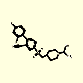 CC(O)N1CCC(CS(=O)(=O)c2ccc(-c3ccc(F)cc3F)c(C#N)c2)CC1